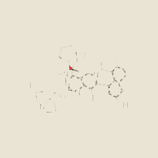 CCc1c(F)ccc2cc(O)cc(-c3ncc4c(N5C[C@H]6CC[C@@H](C5)C6C(=O)NC)nc(OC[C@@]56CCCN5C[C@H](F)C6)nc4c3F)c12